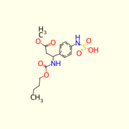 CCCCOC(=O)NC(CC(=O)OC)c1ccc(NS(=O)(=O)O)cc1